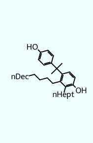 CCCCCCCCCCCCCCc1c(C(C)(C)c2ccc(O)cc2)ccc(O)c1CCCCCCC